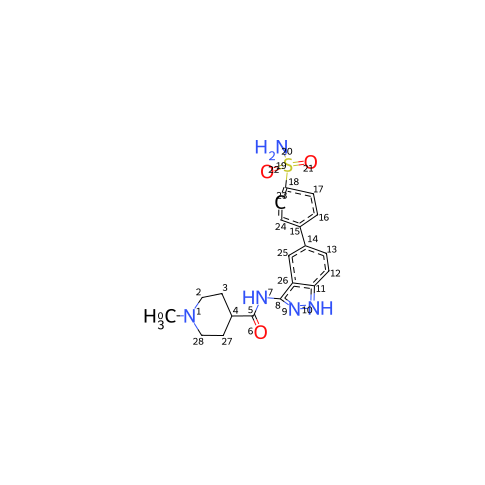 CN1CCC(C(=O)Nc2n[nH]c3ccc(-c4ccc(S(N)(=O)=O)cc4)cc23)CC1